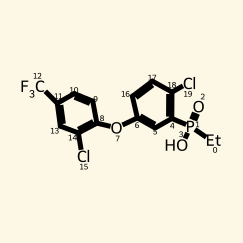 CCP(=O)(O)c1cc(Oc2ccc(C(F)(F)F)cc2Cl)ccc1Cl